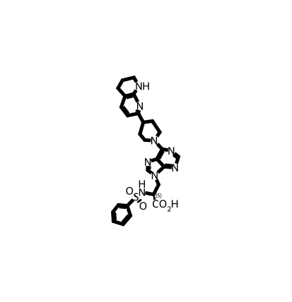 O=C(O)[C@H](Cn1cnc2c(N3CCC(c4ccc5c(n4)NCCC5)CC3)ncnc21)NS(=O)(=O)c1ccccc1